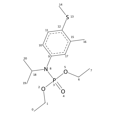 CCOP(=O)(OCC)N(c1ccc(SC)c(C)c1)C(C)C